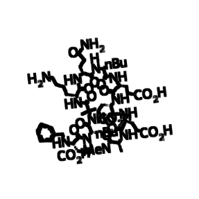 CCCC[C@H](NC(=O)[C@H](CCC(N)=O)NC(=O)[C@H](CCCCN)NC(=O)C(C)(C)NC(=O)[C@H](CCCC)NC(=O)[C@H](CC(=O)O)NCc1ccccc1)C(=O)N[C@@H](CCC(=O)O)C(=O)N[C@@H](CCC(=O)O)C(=O)N[C@@H](CCC(=O)O)C(=O)N[C@@H](C)C(=O)NC